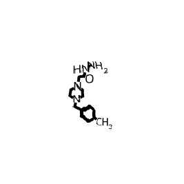 Cc1ccc(CN2CCN(CC(=O)NN)CC2)cc1